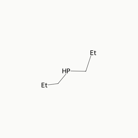 CCCPCCC